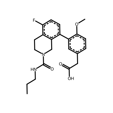 CCCNC(=O)N1CCc2c(F)ccc(-c3cc(CC(=O)O)ccc3OC)c2C1